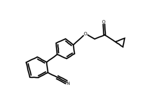 N#Cc1ccccc1-c1ccc(OCC(=O)C2CC2)cc1